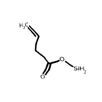 C=CCC(=O)O[SiH3]